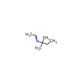 CC=NC(C)(C)CC